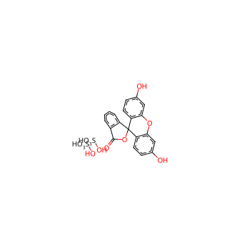 O=C1OC2(c3ccc(O)cc3Oc3cc(O)ccc32)c2ccccc21.O=S(=O)(O)O.O=S(=O)(O)O